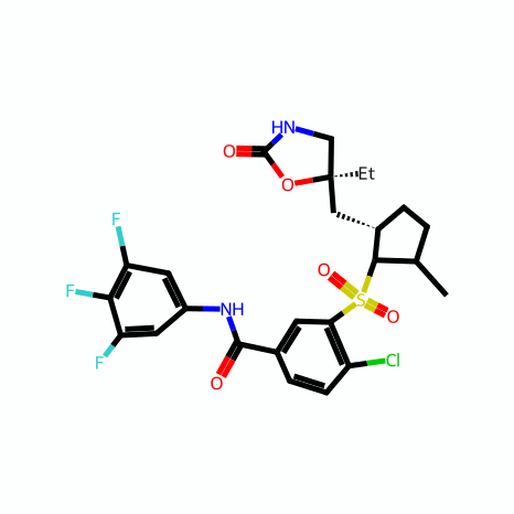 CC[C@@]1(C[C@@H]2CCC(C)C2S(=O)(=O)c2cc(C(=O)Nc3cc(F)c(F)c(F)c3)ccc2Cl)CNC(=O)O1